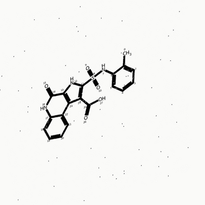 Cc1ccccc1NS(=O)(=O)c1[nH]c2c(=O)[nH]c3ccccc3c2c1C(=O)O